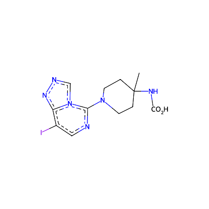 CC1(NC(=O)O)CCN(c2ncc(I)c3nncn23)CC1